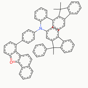 CC1(C)c2ccccc2-c2cccc(-c3ccccc3N(c3ccc(-c4cccc5oc6c7ccccc7ccc6c45)cc3)c3ccc4c(c3)C(C)(c3ccccc3)c3ccccc3-4)c21